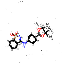 CC1(C)OB(c2ccc(NC3=NS(=O)(=O)c4ccccc43)cc2)OC1(C)C